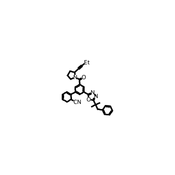 CCC#CC1CCCN1C(=O)c1cc(C2=CC=CCC2C#N)cc(-c2nnc(C(C)(C)Cc3ccccc3)o2)c1